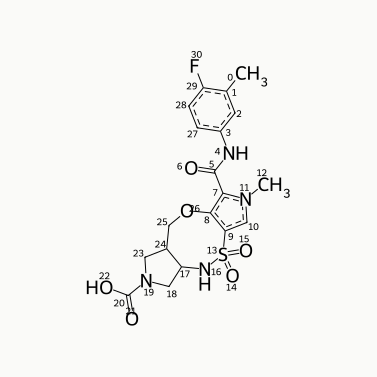 Cc1cc(NC(=O)c2c3c(cn2C)S(=O)(=O)NC2CN(C(=O)O)CC2CO3)ccc1F